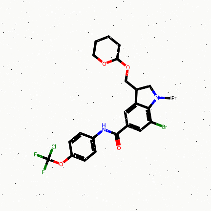 CC(C)N1CC(COC2CCCCO2)c2cc(C(=O)Nc3ccc(OC(F)(F)Cl)cc3)cc(Br)c21